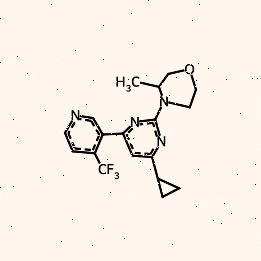 CC1COCCN1c1nc(-c2cnccc2C(F)(F)F)cc(C2CC2)n1